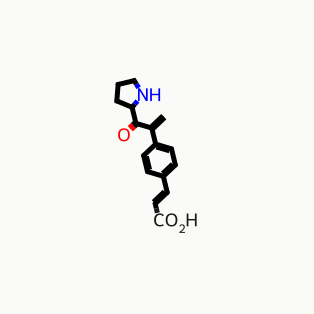 C=C(C(=O)C1CCCN1)c1ccc(C=CC(=O)O)cc1